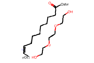 CCCCCCCC/C=C\CCCCCCCC(=O)OC.OCCOCCOCCO